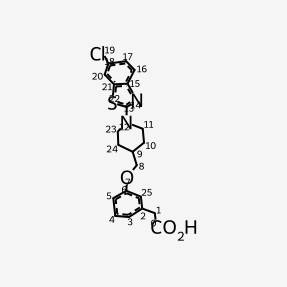 O=C(O)Cc1cccc(OCC2CCN(c3nc4ccc(Cl)cc4s3)CC2)c1